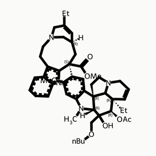 CCCCOCC1(O)[C@H](OC(C)=O)[C@]2(CC)C=CCN3CC[C@@]4(c5cc([C@@]6(C(=O)OC)C[C@@H]7C=C(CC)CN(CCc8c6[nH]c6ccccc86)C7)c(OC)cc5N(C)[C@@H]14)C32